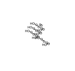 COC(CO)OCCOCCOCCO.COC(CO)OCCOCCOCCO.COC(CO)OCCOCCOCCO.COC(CO)OCCOCCOCCO.[O]=[Zr]